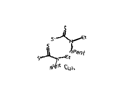 CCCCCN(CC)C(=S)[S-].CCCCCN(CC)C(=S)[S-].[Cu+2]